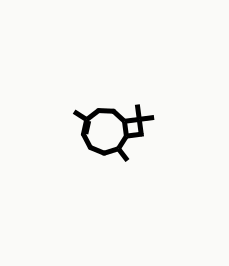 C/C1=C/CCC(C)C2CC(C)(C)C2CC1